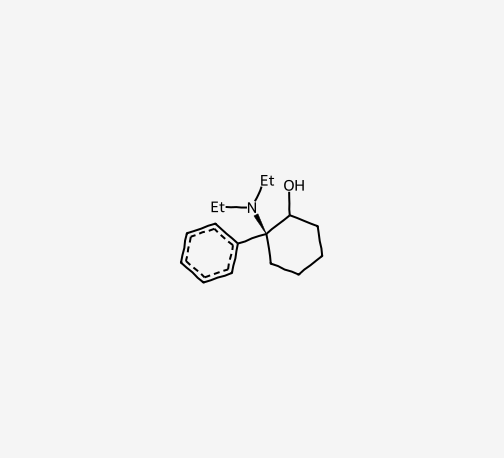 CCN(CC)[C@]1(c2ccccc2)CCCCC1O